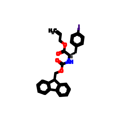 C=CCOC(=O)[C@H](Cc1ccc(I)cc1)NC(=O)OCC1c2ccccc2-c2ccccc21